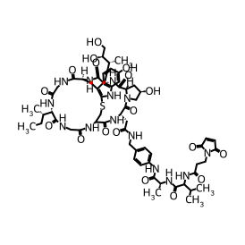 CC[C@H](C)[C@@H]1NC(=O)CNC(=O)[C@@H]2Cc3c([nH]c4cc(O)ccc34)SCC(NC(=O)CNC1=O)C(=O)N[C@@H](CC(=O)NCc1ccc(NC(=O)[C@H](C)NC(=O)C(NC(=O)CCN3C(=O)C=CC3=O)C(C)C)cc1)C(=O)N1C[C@H](O)C[C@H]1C(=O)N[C@@H]([C@@H](C)[C@@H](O)CO)C(=O)N2